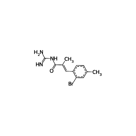 C/C(=C\c1ccc(C)cc1Br)C(=O)NC(=N)N